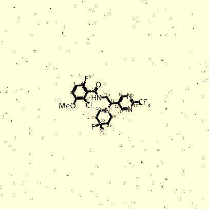 COc1ccc(F)c(C(=O)NCC(c2cnc(C(F)(F)F)nc2)N2CCC(F)(F)CC2)c1Cl